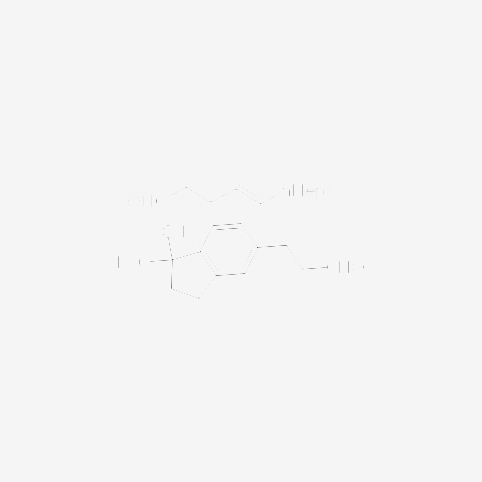 CC1(C)CCc2cc(CCC=O)ccc21.CCCCCCCC=CCCC=O